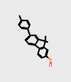 Cc1ccc(-c2ccc3c(c2)C(C)(C)c2cc(P=O)ccc2-3)cc1